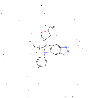 CC(C)(CC#N)c1c([C@@H]2COC(C(=O)O)C2)c2cc3[nH]ncc3cc2n1-c1ccc(F)cc1